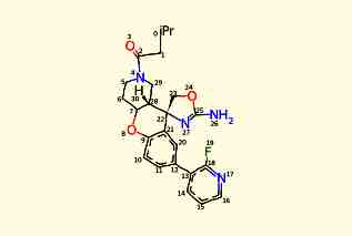 CC(C)CC(=O)N1CCC2Oc3ccc(-c4cccnc4F)cc3[C@]3(COC(N)=N3)[C@H]2C1